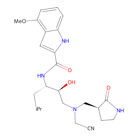 COc1cccc2[nH]c(C(=O)N[C@@H](CC(C)C)[C@@H](O)CN(CC#N)C[C@@H]3CCNC3=O)cc12